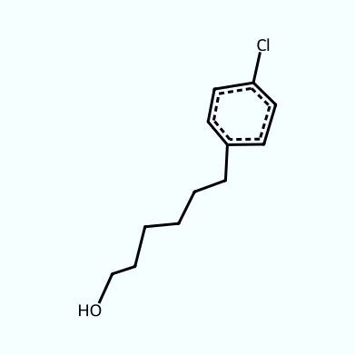 OCCCCCCc1ccc(Cl)cc1